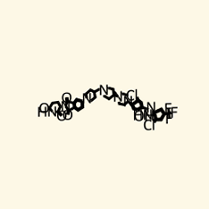 O=C1CCC(N2C(=O)c3ccc(N4CCC(CN5CCC(N6CCN(c7cc(O)c(-c8nc9cc(C(F)(F)F)cc(Cl)c9[nH]8)cc7Cl)CC6)CC5)CC4)cc3C2=O)C(=O)N1